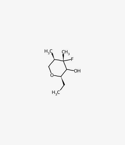 CC[C@H]1OC[C@@H](C)[C@](C)(F)C1O